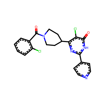 O=C(c1ccccc1Cl)N1CCC(c2nc(-c3ccncc3)[nH]c(=O)c2Cl)CC1